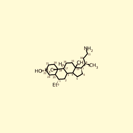 CC[C@H]1CC2C3CC[C@H]([C@H](C)CCN)C3(C)CC[C@@H]2C2(C)CC[C@@H](O)CC12